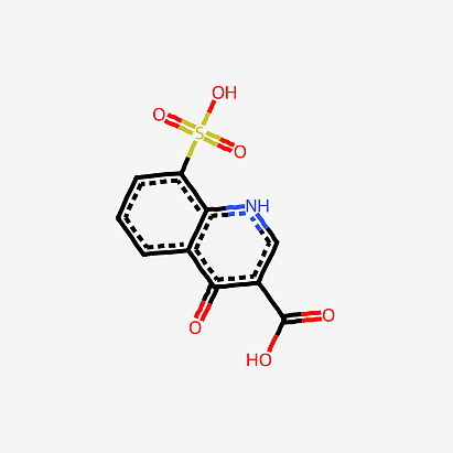 O=C(O)c1c[nH]c2c(S(=O)(=O)O)cccc2c1=O